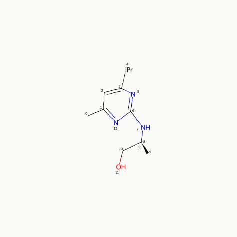 Cc1cc(C(C)C)nc(N[C@@H](C)CO)n1